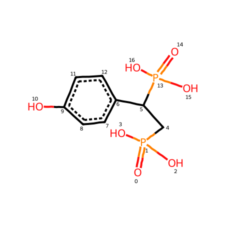 O=P(O)(O)CC(c1ccc(O)cc1)P(=O)(O)O